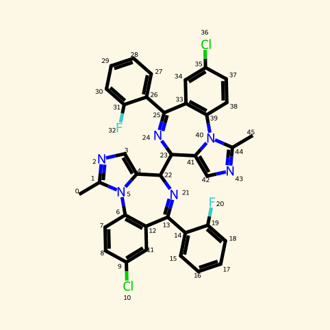 Cc1ncc2n1-c1ccc(Cl)cc1C(c1ccccc1F)=NC2C1N=C(c2ccccc2F)c2cc(Cl)ccc2-n2c1cnc2C